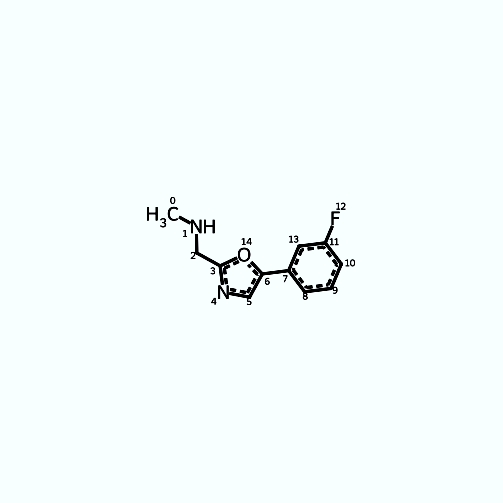 CNCc1ncc(-c2cccc(F)c2)o1